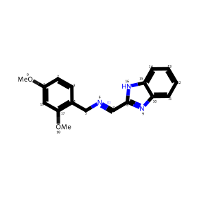 COc1ccc(C/N=C/c2nc3ccccc3[nH]2)c(OC)c1